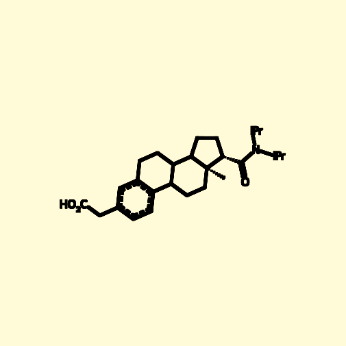 CC(C)N(C(=O)[C@H]1CCC2C3CCc4cc(CC(=O)O)ccc4C3CC[C@@]21C)C(C)C